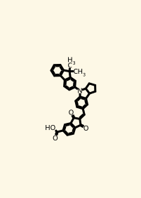 CC1(C)c2ccccc2-c2ccc(N3c4ccc(/C=C5/C(=O)c6ccc(C(=O)O)cc6C5=O)cc4C4CCCC43)cc21